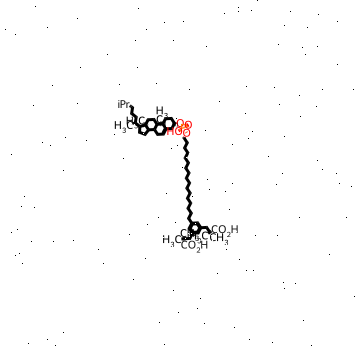 CC(C)CCCC(C)C1CCC2C3CC=C4C[C@H](OP(=O)(O)OCCCCCCCCCCCCCCCCCc5cc(CC(C)(C)C(=O)O)cc(CC(C)(C)C(=O)O)c5)CC[C@]4(C)C3CC[C@]12C